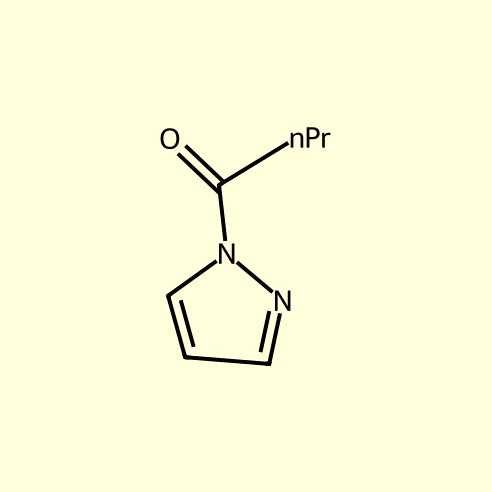 CCCC(=O)n1cccn1